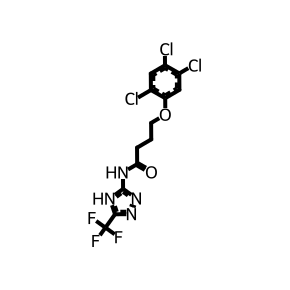 O=C(CCCOc1cc(Cl)c(Cl)cc1Cl)Nc1nnc(C(F)(F)F)[nH]1